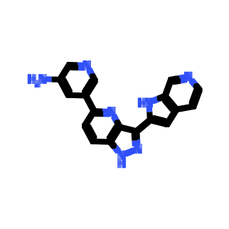 Nc1cncc(-c2ccc3[nH]nc(-c4cc5ccncc5[nH]4)c3n2)c1